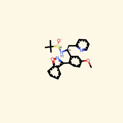 COc1ccc(-c2noc3ccccc23)c([C@H](Cc2ccccn2)N[S@@+]([O-])C(C)(C)C)c1